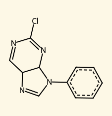 ClC1=NC2C(C=N1)N=CN2c1ccccc1